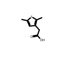 Cc1cc(CC(=O)O)c(C)s1